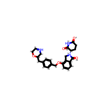 O=C1CC[C@H](N2Cc3c(OCc4ccc(CC5CNCCO5)cc4)cccc3C2=O)C(=O)N1